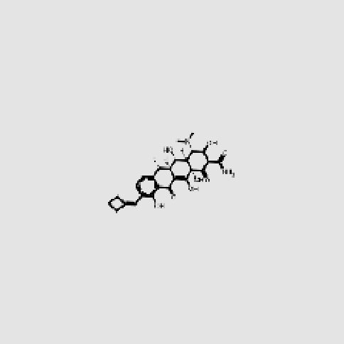 C[C@H]1c2ccc(C=C3CCC3)c(O)c2C(=O)C2=C(O)[C@]3(O)C(=O)C(C(N)=O)C(O)[C@@H](N(C)C)[C@@H]3[C@@H](O)[C@@H]21